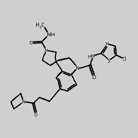 CNC(=O)N1CCC2(C1)CN(C(=O)Nc1ncc(Cl)s1)c1ccc(CCC(=O)N3CCC3)cc12